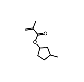 C=C(C)C(=O)OC1CCC(C)C1